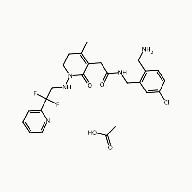 CC(=O)O.CC1=C(CC(=O)NCc2cc(Cl)ccc2CN)C(=O)N(NCC(F)(F)c2ccccn2)CC1